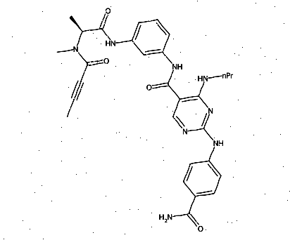 CC#CC(=O)N(C)[C@@H](C)C(=O)Nc1cccc(NC(=O)c2cnc(Nc3ccc(C(N)=O)cc3)nc2NCCC)c1